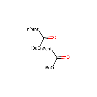 CCCCCC(=O)OCC(C)C.CCCCCC(=O)OCC(C)C